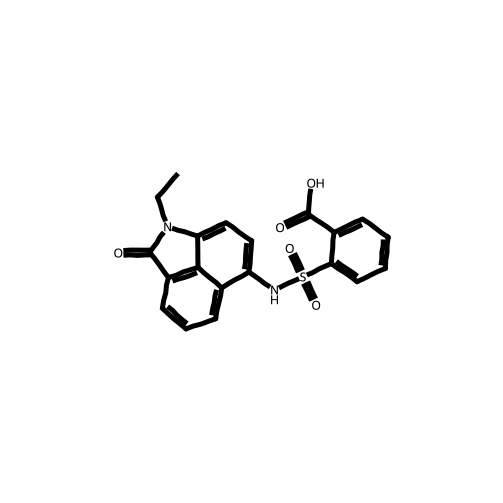 CCN1C(=O)c2cccc3c(NS(=O)(=O)c4ccccc4C(=O)O)ccc1c23